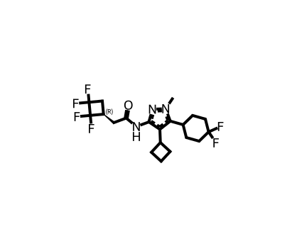 Cn1nc(NC(=O)C[C@@H]2CC(F)(F)C2(F)F)c(C2CCC2)c1C1CCC(F)(F)CC1